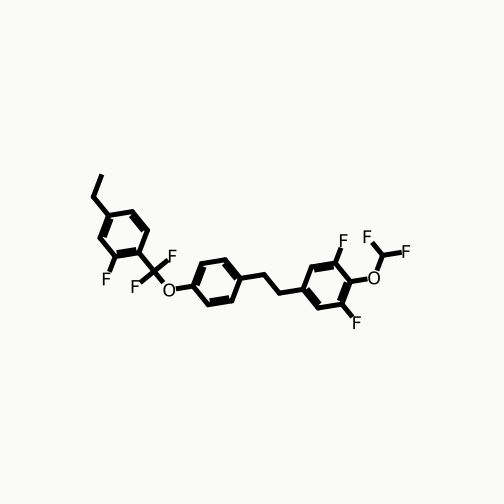 CCc1ccc(C(F)(F)Oc2ccc(CCc3cc(F)c(OC(F)F)c(F)c3)cc2)c(F)c1